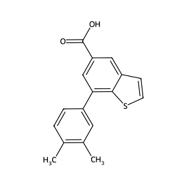 Cc1ccc(-c2cc(C(=O)O)cc3ccsc23)cc1C